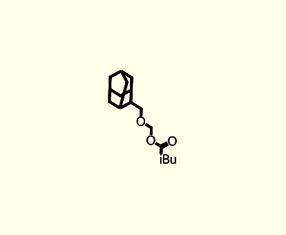 CCC(C)C(=O)OCOCC1C2CC3CC(C2)CC1C3